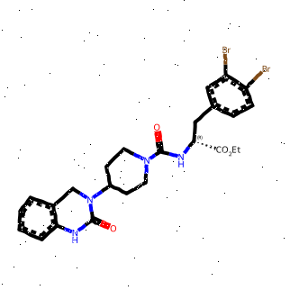 CCOC(=O)[C@@H](Cc1ccc(Br)c(Br)c1)NC(=O)N1CCC(N2Cc3ccccc3NC2=O)CC1